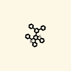 c1ccc(-c2cc(-c3ccccc3)cc(-c3cc4c(-c5ccccc5)nc5ccccc5c4c4c3sc3ccccc34)c2)cc1